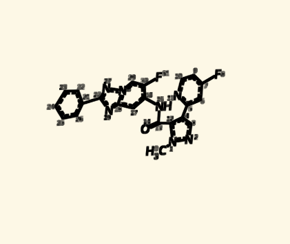 Cn1ncc(-c2cc(F)ccn2)c1C(=O)Nc1cc2nc(-c3ccccc3)nn2cc1F